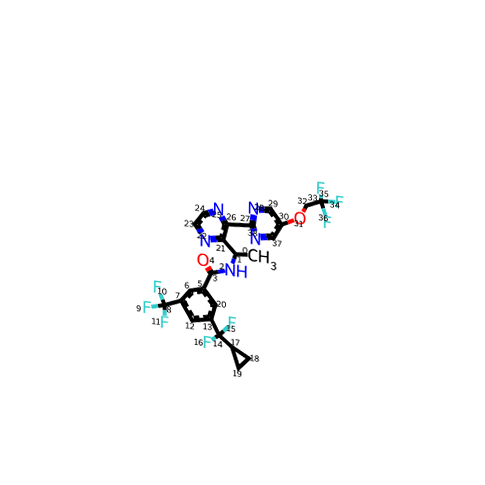 CC(NC(=O)c1cc(C(F)(F)F)cc(C(F)(F)C2CC2)c1)c1nccnc1-c1ncc(OCC(F)(F)F)cn1